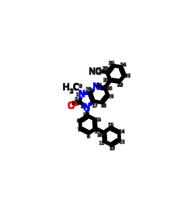 Cn1c(=O)n(-c2cccc(-c3ccccc3)c2)c2ccc(-c3ccccc3C#N)nc21